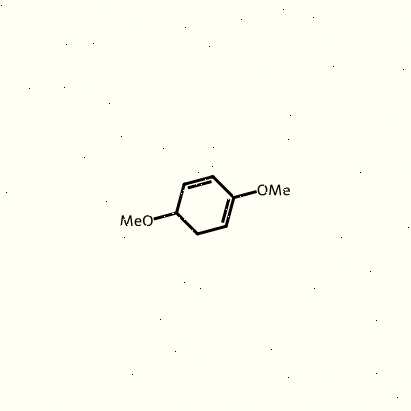 COC1=CCC(OC)C=C1